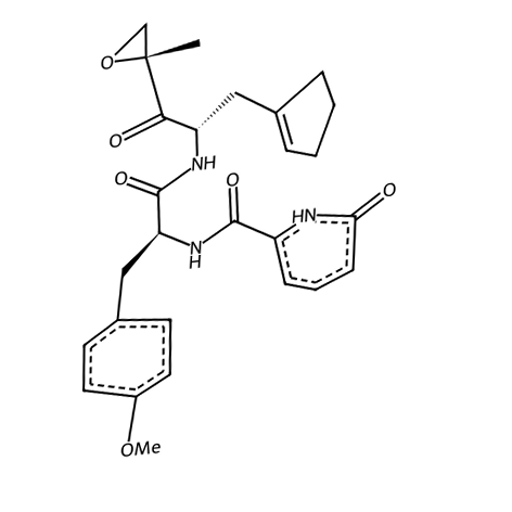 COc1ccc(C[C@H](NC(=O)c2cccc(=O)[nH]2)C(=O)N[C@@H](CC2=CCCC2)C(=O)[C@@]2(C)CO2)cc1